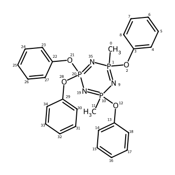 CP1(Oc2ccccc2)=NP(C)(Oc2ccccc2)=NP(Oc2ccccc2)(Oc2ccccc2)=N1